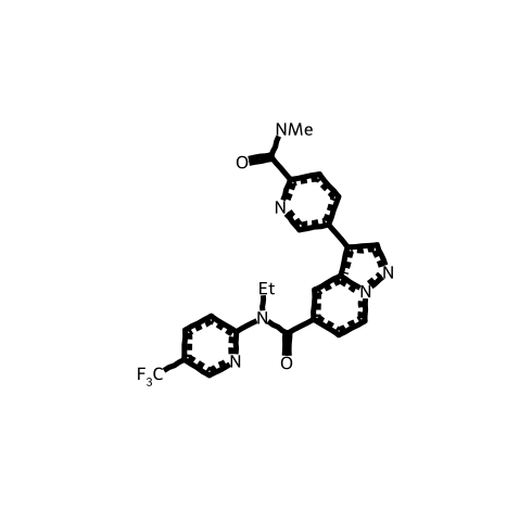 CCN(C(=O)c1ccn2ncc(-c3ccc(C(=O)NC)nc3)c2c1)c1ccc(C(F)(F)F)cn1